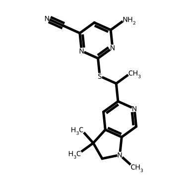 CC(Sc1nc(N)cc(C#N)n1)c1cc2c(cn1)N(C)CC2(C)C